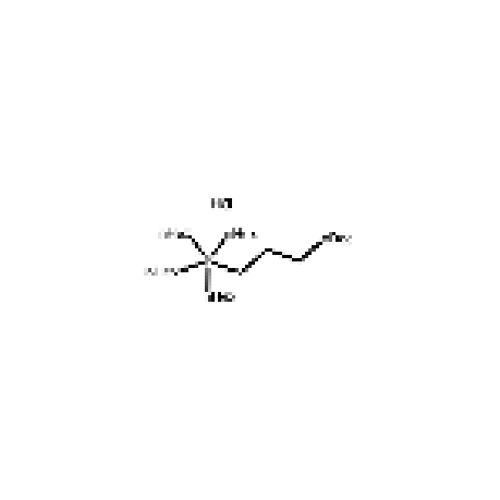 CCCCCCCCCCCCCP(CCCCCC)(CCCCCC)(CCCCCC)CCCCCC.Cl